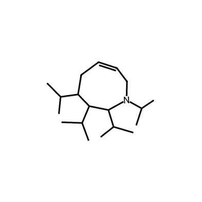 CC(C)C1C/C=C\CN(C(C)C)C(C(C)C)C1C(C)C